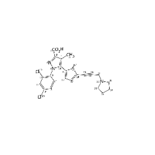 Cc1c(C(=O)O)nn(-c2ccc(Cl)cc2Cl)c1-c1ccc(C#CCN2CCCC2)s1